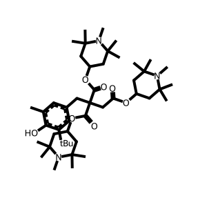 Cc1cc(CC(CC(=O)OC2CC(C)(C)N(C)C(C)(C)C2)(C(=O)OC2CC(C)(C)N(C)C(C)(C)C2)C(=O)OC2CC(C)(C)N(C)C(C)(C)C2)cc(C(C)(C)C)c1O